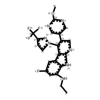 CCNc1cc(F)cc2c1[nH]c1ncc(-c3cnc(OC)nc3)c(-n3ccc(C(F)(F)F)n3)c12